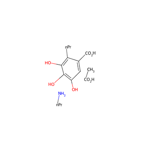 CC(=O)O.CCCN.CCCc1c(C(=O)O)cc(O)c(O)c1O